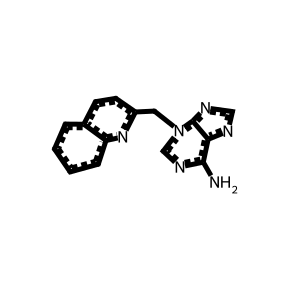 Nc1ncn(Cc2ccc3ccccc3n2)c2ncnc1-2